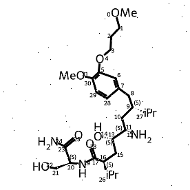 COCCCOc1cc(C[C@@H](C[C@H](N)[C@@H](O)C[C@H](C(=O)N[C@@H](CO)C(N)=O)C(C)C)C(C)C)ccc1OC